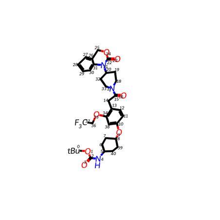 CC(C)(C)OC(=O)NC1CCC(Oc2ccc(CC(=O)N3CCC(N4C(=O)OCc5ccccc54)CC3)c(OCC(F)(F)F)c2)CC1